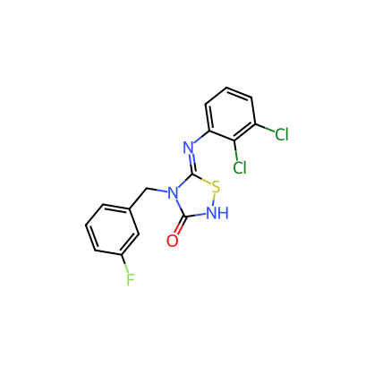 O=c1[nH]sc(=Nc2cccc(Cl)c2Cl)n1Cc1cccc(F)c1